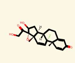 C[C@]12C=CC(=O)C=C1CC[C@H]1[C@@H]3CC(O)[C@](O)(C(=O)CO)[C@@]3(C)C=C[C@@]12F